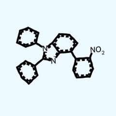 O=[N+]([O-])c1ccccc1-c1cccc2c1nc(-c1ccccc1)n2-c1ccccc1